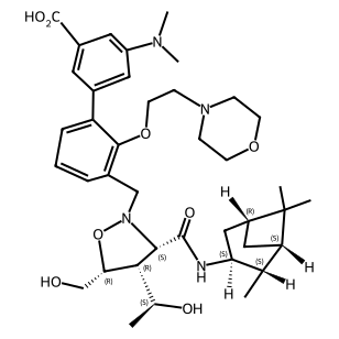 C[C@@H]1[C@@H](NC(=O)[C@@H]2[C@H]([C@H](C)O)[C@H](CO)ON2Cc2cccc(-c3cc(C(=O)O)cc(N(C)C)c3)c2OCCN2CCOCC2)C[C@H]2C[C@@H]1C2(C)C